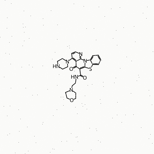 O=C(NCCN1CCOCC1)c1c(=O)c2c(N3CCNCC3)ccnc2n2c1sc1ccccc12